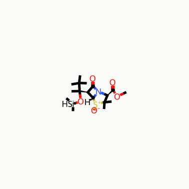 COC(=O)[C@@H]1N2C(=O)[C@H](C(C)(O[SiH](C)C)C(C)(C)C)[C@H]2[S+]([O-])C1(C)C